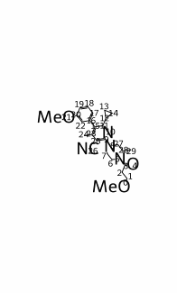 COCCC(=O)N1CCN(c2nc(C3CC3)c(-c3cccc(OC)c3)c(C)c2C#N)CC1C